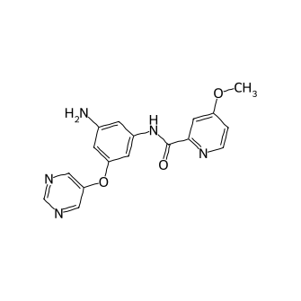 COc1ccnc(C(=O)Nc2cc(N)cc(Oc3cncnc3)c2)c1